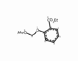 CCOC(=O)c1ccccc1OCOC